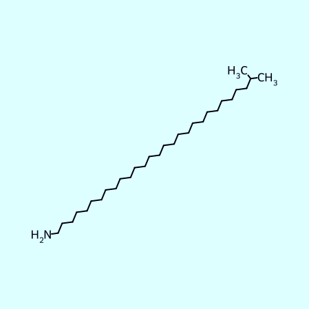 CC(C)CCCCCCCCCCCCCCCCCCCCCCCCCCCN